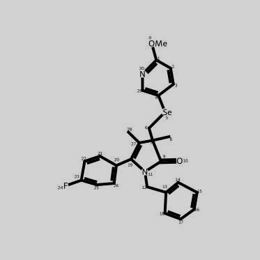 COc1ccc([Se]CC2(C)C(=O)N(Cc3ccccc3)C(c3ccc(F)cc3)=C2C)cn1